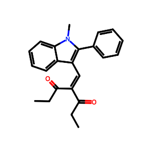 CCC(=O)C(=Cc1c(-c2ccccc2)n(C)c2ccccc12)C(=O)CC